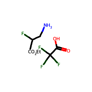 CCOC(=O)C(F)CN.O=C(O)C(F)(F)F